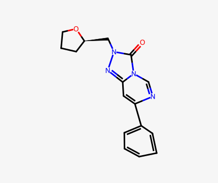 O=c1n(C[C@H]2CCCO2)nc2cc(-c3ccccc3)ncn12